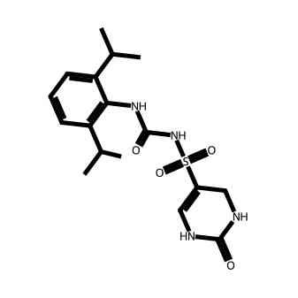 CC(C)c1cccc(C(C)C)c1NC(=O)NS(=O)(=O)C1=CNC(=O)NC1